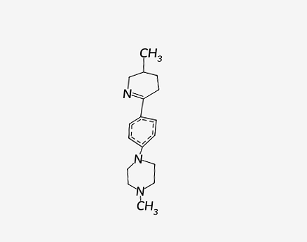 CC1CCC(c2ccc(N3CCN(C)CC3)cc2)=NC1